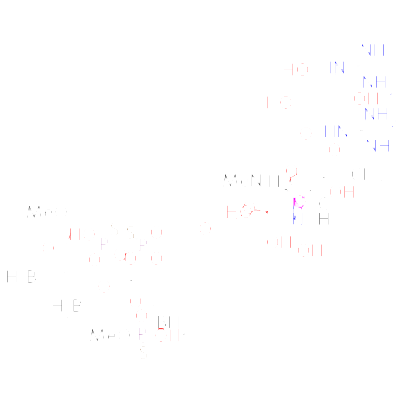 BC1CC(OP(O)(=S)OC)C(COP(=S)(OCCOCCOCCNC(C)(C)C2(O)C(C)OC(OC3C(O)C(O)C(NC(=N)N)C(O)C3NC(=N)N)C2OC2OC(CO)C(O)C(O)C2NC)OC2CC(B)OC2COP(O)(=S)OC2CC(B)OC2COC)O1